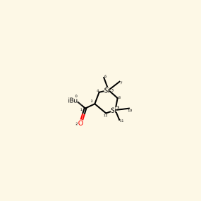 CCC(C)C(=O)C1C[Si](C)(C)C[Si](C)(C)C1